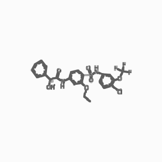 CCOc1cc(NC(=O)[C@@H](O)c2ccccc2)ccc1S(=O)(=O)Nc1ccc(Cl)c(OC(F)(F)F)c1